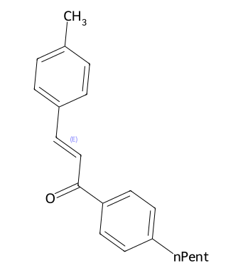 CCCCCc1ccc(C(=O)/C=C/c2ccc(C)cc2)cc1